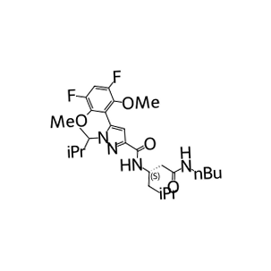 CCCCNC(=O)C[C@H](CC(C)C)NC(=O)c1cc(-c2c(OC)c(F)cc(F)c2OC)n(C(C)C(C)C)n1